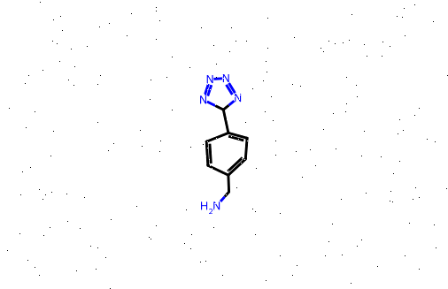 NCc1ccc(C2N=NN=N2)cc1